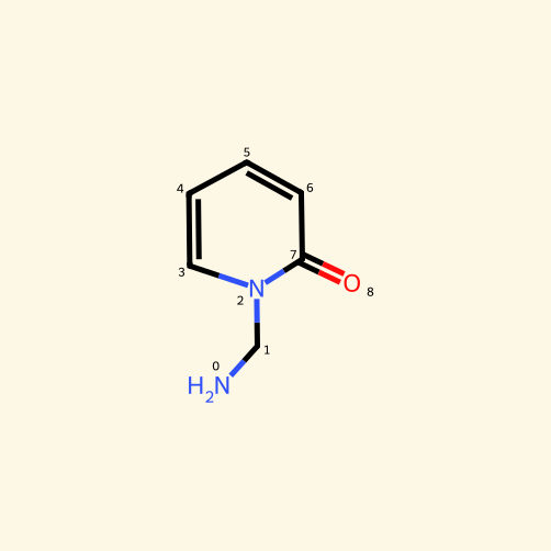 NCn1ccccc1=O